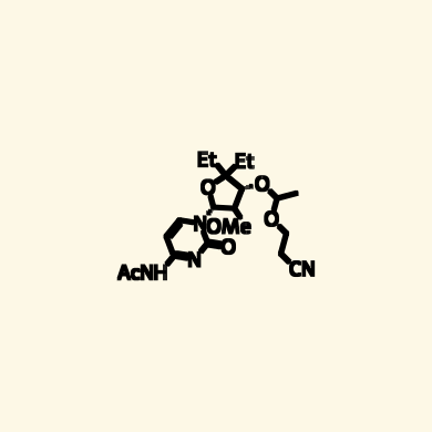 CCC1(CC)O[C@@H](n2ccc(NC(C)=O)nc2=O)C(OC)[C@H]1OC(C)OCCC#N